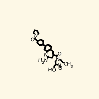 CCCN(CC(CO)N=O)C(=O)C1=Cc2ccc(-c3ccc(C(=O)N4CCCC4)cc3)cc2N=C(N)C1